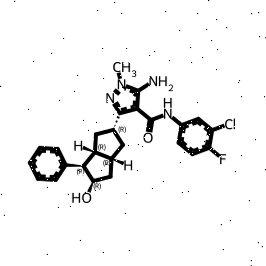 Cn1nc([C@@H]2C[C@@H]3C[C@@H](O)[C@@H](c4ccccc4)[C@@H]3C2)c(C(=O)Nc2ccc(F)c(Cl)c2)c1N